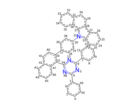 c1ccc(-c2nc(-c3ccccc3)nc(-c3c(-c4ccc(-n5c6ccccc6c6ccc7ccccc7c65)cc4)ccc4ccccc34)n2)cc1